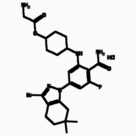 CCc1nn(-c2cc(F)c(C(N)=O)c(NC3CCC(OC(=O)CN)CC3)c2)c2c1CCC(C)(C)C2.Cl